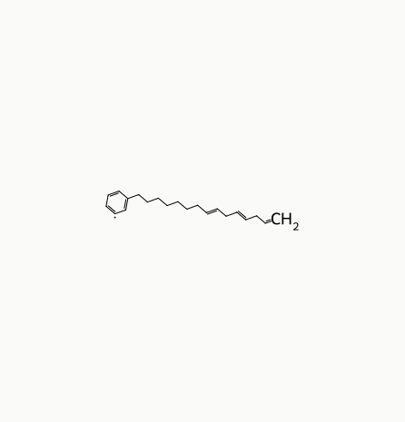 C=CCC=CCC=CCCCCCCCc1c[c]ccc1